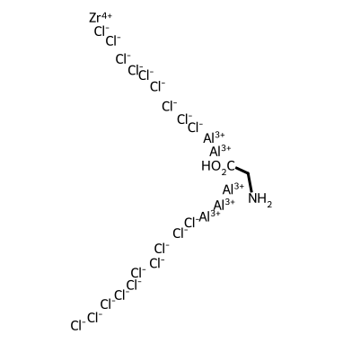 NCC(=O)O.[Al+3].[Al+3].[Al+3].[Al+3].[Al+3].[Cl-].[Cl-].[Cl-].[Cl-].[Cl-].[Cl-].[Cl-].[Cl-].[Cl-].[Cl-].[Cl-].[Cl-].[Cl-].[Cl-].[Cl-].[Cl-].[Cl-].[Cl-].[Cl-].[Zr+4]